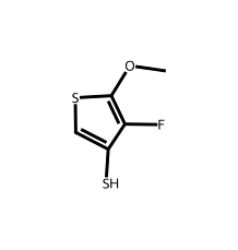 COc1scc(S)c1F